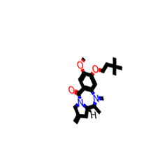 C=C1C[C@H]2C(C)N(C)c3cc(OCCC(C)(C)C)c(OC)cc3C(=O)N2C1